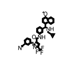 COc1ccc(C(NCC2CC2)c2cccc(NC(=O)c3cc(C(F)(F)F)nn3-c3cccc(C#N)c3)c2)c2ccccc12